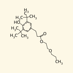 CCCOCCOC(=O)CCc1cc(C(C)(C)C)c(O)c(C(C)(C)C)c1